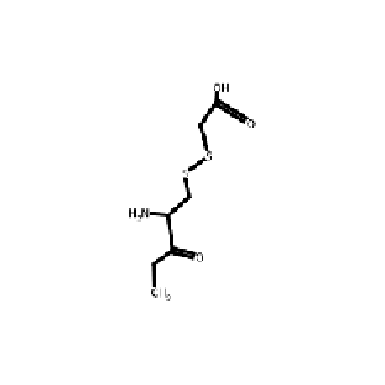 CCC(=O)C(N)CSSCC(=O)O